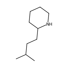 CC(C)CCC1CCCCN1